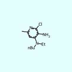 CCCCN(CC)c1cc(C)nc(Cl)c1N